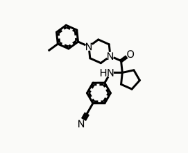 Cc1cccc(N2CCN(C(=O)C3(Nc4ccc(C#N)cc4)CCCC3)CC2)c1